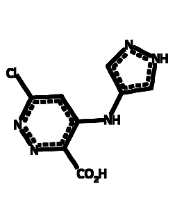 O=C(O)c1nnc(Cl)cc1Nc1cn[nH]c1